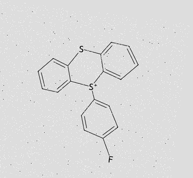 Fc1ccc([S+]2c3ccccc3Sc3ccccc32)cc1